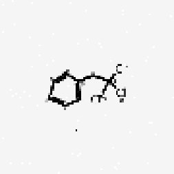 ClC(Cl)(Cl)[CH]c1ccccc1